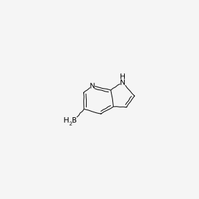 Bc1cnc2[nH]ccc2c1